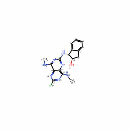 CNc1nc(N[C@@H]2c3ccccc3C[C@H]2O)nc2c(NC)nc(Cl)nc12